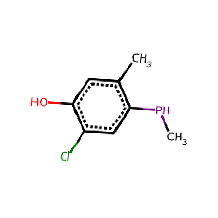 CPc1cc(Cl)c(O)cc1C